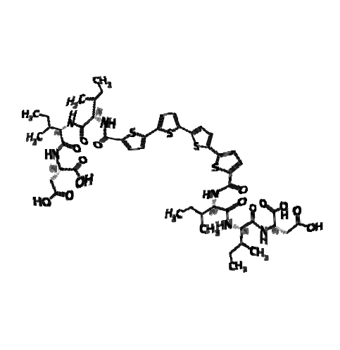 CCC(C)[C@H](NC(=O)c1ccc(-c2ccc(-c3ccc(-c4ccc(C(=O)N[C@H](C(=O)N[C@H](C(=O)N[C@@H](CC(=O)O)C(=O)O)C(C)CC)C(C)CC)s4)s3)s2)s1)C(=O)N[C@H](C(=O)N[C@@H](CC(=O)O)C(=O)O)C(C)CC